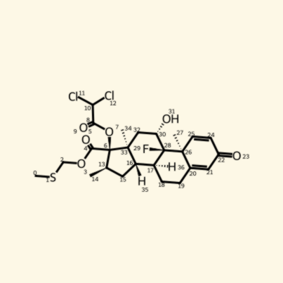 CSCOC(=O)[C@@]1(OC(=O)C(Cl)Cl)[C@H](C)C[C@H]2[C@@H]3CCC4=CC(=O)C=C[C@]4(C)[C@@]3(F)[C@@H](O)C[C@@]21C